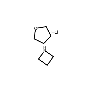 C1CCOC1.C1CNC1.Cl